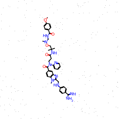 COc1ccc(C(=O)NCN(C)OCC(C)(C)NC(=O)CCN(C(=O)c2ccc3c(c2)nc(CNc2ccc(C(=N)N)cc2)n3C)c2ccccn2)cc1